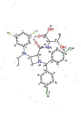 CCN(c1cc(F)cc(F)c1)C1CN(C(c2ccc(Cl)cc2)c2ccc(Cl)cc2)C1C(=O)NC(C(=O)O)C(C)O